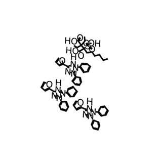 CCCCCCC(C(=O)O)(C(CC)(CC)C(=O)O)S(=O)(=O)O.c1ccc(N2N=C(c3ccco3)NN2c2ccccc2)cc1.c1ccc(N2N=C(c3ccco3)NN2c2ccccc2)cc1.c1ccc(N2N=C(c3ccco3)NN2c2ccccc2)cc1